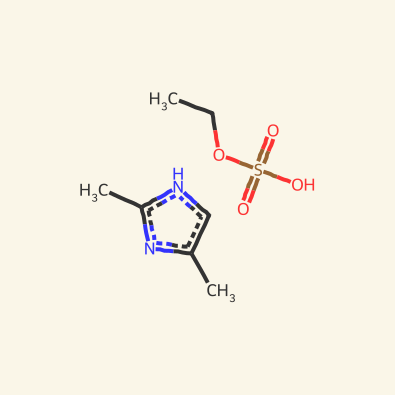 CCOS(=O)(=O)O.Cc1c[nH]c(C)n1